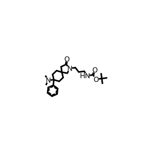 CN(C)C1(c2ccccc2)CCC2(CC1)CC(=O)N(CCCNC(=O)OC(C)(C)C)C2